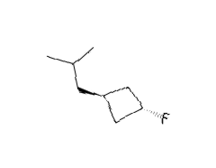 CC(C)C[C@H]1C[C@H](F)C1